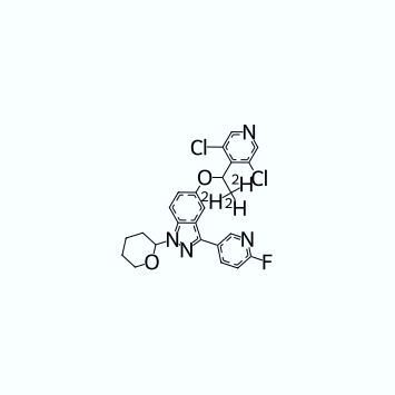 [2H]C([2H])([2H])C(Oc1ccc2c(c1)c(-c1ccc(F)nc1)nn2C1CCCCO1)c1c(Cl)cncc1Cl